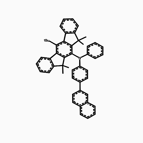 CC(C)(C)c1c2c(c(N(c3ccccc3)c3ccc(-c4ccc5ccccc5c4)cc3)c3c1-c1ccccc1C3(C)C)C(C)(C)c1ccccc1-2